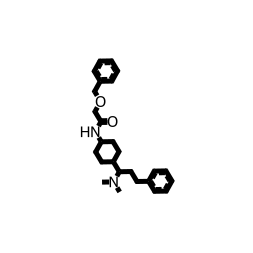 CN(C)C(CCc1ccccc1)C1CCC(NC(=O)COCc2ccccc2)CC1